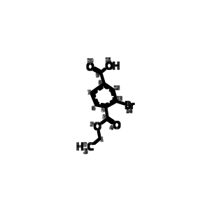 CCOC(=O)c1ccc(C(=O)O)cc1Br